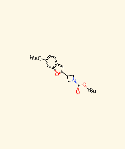 COc1ccc2cc(C3CN(C(=O)OC(C)(C)C)C3)oc2c1